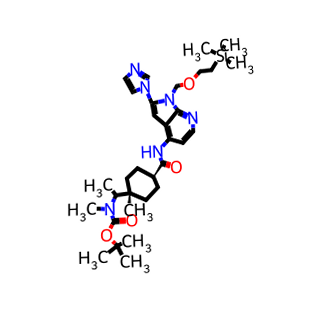 CC(N(C)C(=O)OC(C)(C)C)[C@]1(C)CC[C@@H](C(=O)Nc2ccnc3c2cc(-n2ccnc2)n3COCC[Si](C)(C)C)CC1